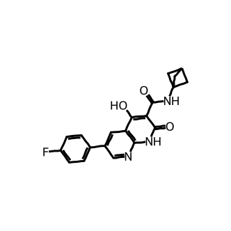 O=C(NC12CC(C1)C2)c1c(O)c2cc(-c3ccc(F)cc3)cnc2[nH]c1=O